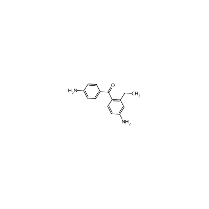 CCc1cc(N)ccc1C(=O)c1ccc(N)cc1